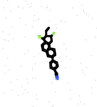 CCC1C(F)Cc2c(ccc3cc(-c4ccc(C#N)cc4)ccc23)C1F